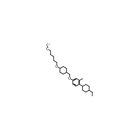 [CH2+][CH-]CCCCCOC1CCC(COc2ccc(C3CCC(CC)CC3)c(C)c2)CC1